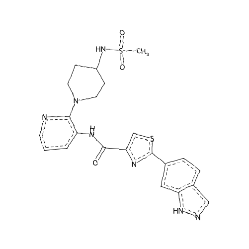 CS(=O)(=O)NC1CCN(c2ncccc2NC(=O)c2csc(-c3ccc4cn[nH]c4c3)n2)CC1